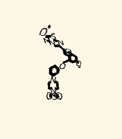 COc1cc(COc2cccc(N3CCN(S(C)(=O)=O)CC3)c2)c2cc(-c3cn4nc(OC)sc4n3)oc2c1